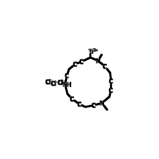 CN1CCCCCNCCCC[CH]([Ti+3])N(C)CCCCC1.[Cl-].[Cl-].[Cl-]